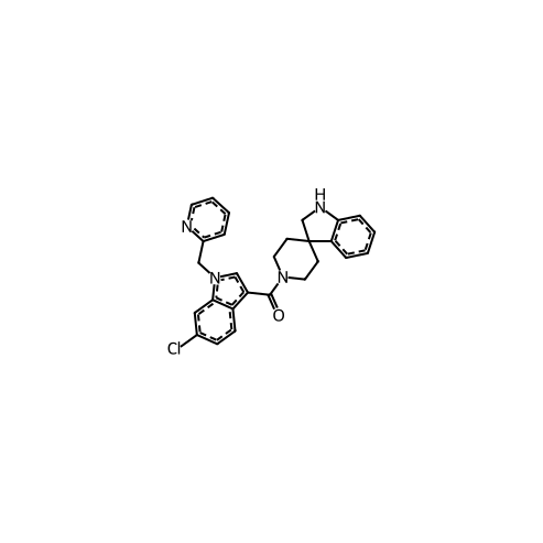 O=C(c1cn(Cc2ccccn2)c2cc(Cl)ccc12)N1CCC2(CC1)CNc1ccccc12